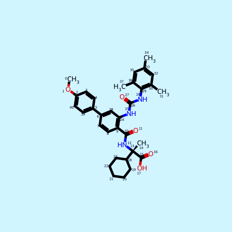 COc1ccc(-c2ccc(C(=O)N[C@](C)(C(=O)O)C3CCCCC3)c(NC(=O)Nc3c(C)cc(C)cc3C)c2)cc1